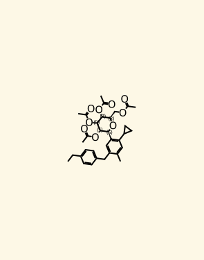 CCc1ccc(Cc2cc([C@@H]3O[C@H](COC(C)=O)[C@@H](OC(C)=O)[C@H](OC(C)=O)[C@H]3OC(C)=O)c(C3CC3)cc2C)cc1